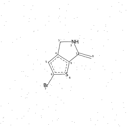 C=C1NCc2cc(Br)sc21